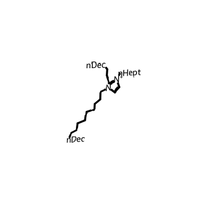 CCCCCCCCCCCCCCCCCCCn1cc[n+](CCCCCCC)c1CCCCCCCCCCCC